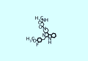 CNC(=O)CC(=O)N1CCc2c(nc(Cc3ccc(OC)c(F)c3)c3[nH]c4ccccc4c23)C1